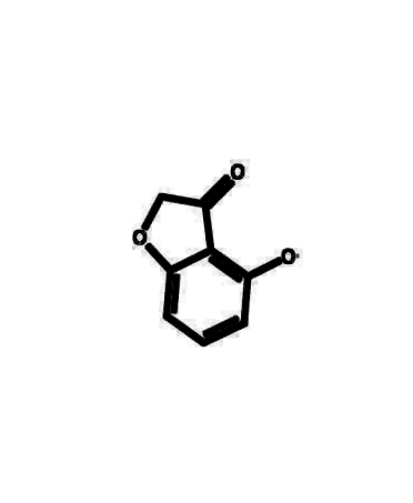 [O]c1cccc2c1C(=O)CO2